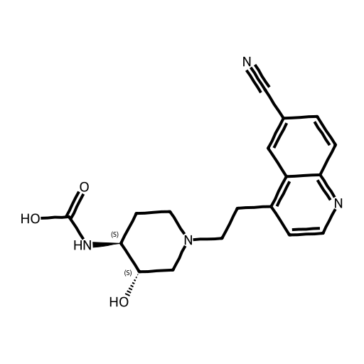 N#Cc1ccc2nccc(CCN3CC[C@H](NC(=O)O)[C@@H](O)C3)c2c1